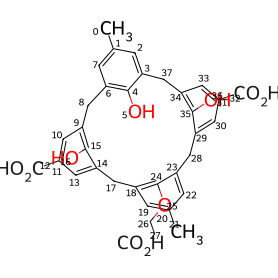 Cc1cc2c(O)c(c1)Cc1cc(C(=O)O)cc(c1O)Cc1cc(C)cc(c1OCC(=O)O)Cc1cc(C(=O)O)cc(c1O)C2